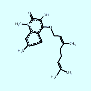 CC(C)=CCCC(C)=CCOc1c(O)c(=O)n(C)c2cc(N)ccc12